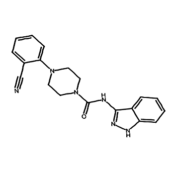 N#Cc1ccccc1N1CCN(C(=O)Nc2n[nH]c3ccccc23)CC1